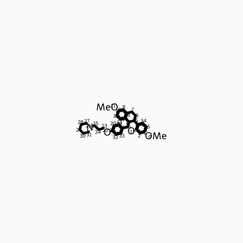 COc1ccc(C2CCc3cc(OC)ccc3C2C(=O)c2ccc(OCCCN3CCCCC3)cc2)cc1